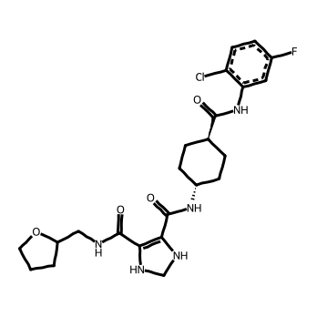 O=C(NCC1CCCO1)C1=C(C(=O)N[C@H]2CC[C@H](C(=O)Nc3cc(F)ccc3Cl)CC2)NCN1